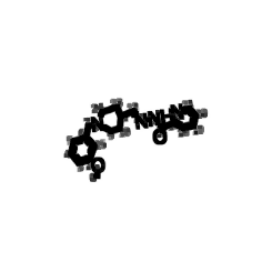 COc1cccc(CN2CCC(C=NNC(=O)c3ccccn3)CC2)c1